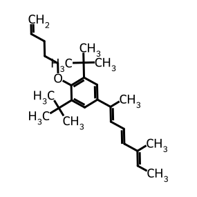 C=CCCCOc1c(C(C)(C)C)cc(/C(C)=C/C=C/C(C)=C/C)cc1C(C)(C)C